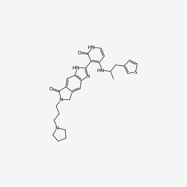 CC(Cc1ccsc1)Nc1cc[nH]c(=O)c1-c1nc2cc3c(cc2[nH]1)C(=O)N(CCCN1CCCC1)C3